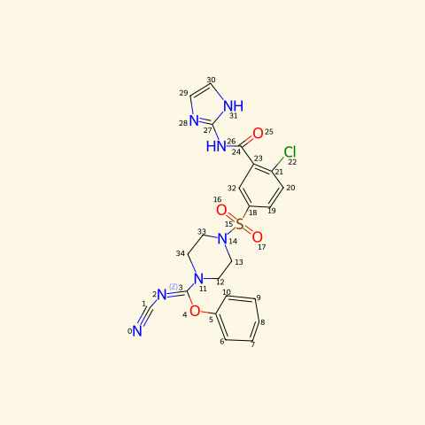 N#C/N=C(\Oc1ccccc1)N1CCN(S(=O)(=O)c2ccc(Cl)c(C(=O)Nc3ncc[nH]3)c2)CC1